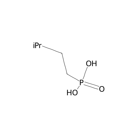 CC(C)CCP(=O)(O)O